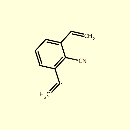 C=[C]c1cccc(C=C)c1C#N